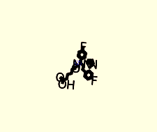 O=C(O)CCCCO/N=C(/c1ccc(F)cc1)C(Cc1ccc(F)cc1)n1ccnc1